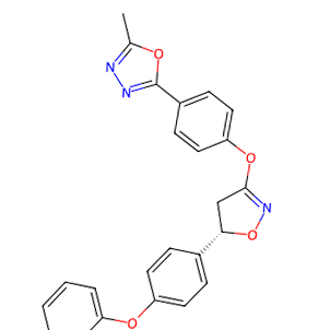 Cc1nnc(-c2ccc(OC3=NO[C@H](c4ccc(Oc5ccccc5)cc4)C3)cc2)o1